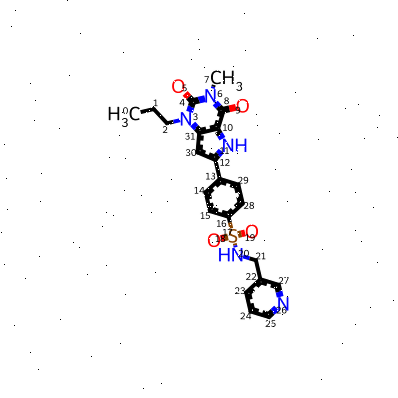 CCCn1c(=O)n(C)c(=O)c2[nH]c(-c3ccc(S(=O)(=O)NCc4cccnc4)cc3)cc21